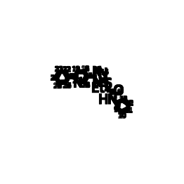 CCn1c(SCC(=O)Nc2ccccc2)nnc1-c1ccc(-c2ccccc2)nc1